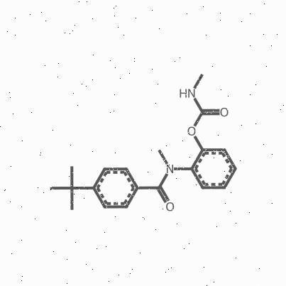 CNC(=O)Oc1ccccc1N(C)C(=O)c1ccc(C(C)(C)C)cc1